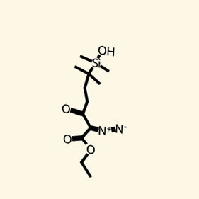 CCOC(=O)C(=[N+]=[N-])C(=O)CCC(C)(C)[Si](C)(C)O